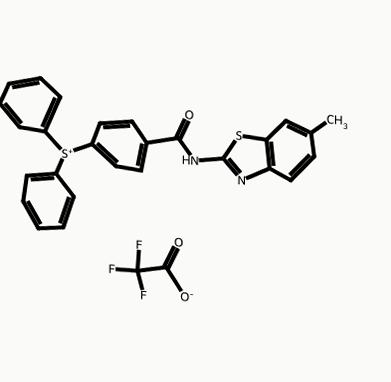 Cc1ccc2nc(NC(=O)c3ccc([S+](c4ccccc4)c4ccccc4)cc3)sc2c1.O=C([O-])C(F)(F)F